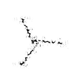 C=C(C)C(=O)OCCOC(=O)CCC(=O)NCn1c(=O)n(CNC(=O)CCC(=O)OCCOC(=O)C(=C)C)c(=O)n(CNC(=O)CCC(=O)OCCOC(=O)C(=C)C)c1=O